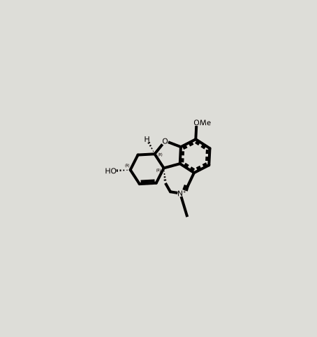 COc1ccc2c3c1O[C@@H]1C[C@@H](O)C=C[C@]31CC[N+](C)=C2